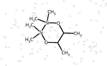 CC1O[Si](C)(C)[Si](C)(C)OC1C